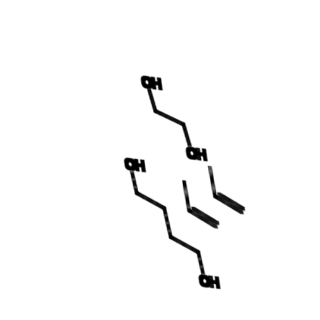 C=CC.C=CC.OCCCCO.OCCO